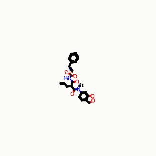 C=CCC(C(=O)NS(=O)(=O)/C=C/c1ccccc1)C(=O)N(CC)c1ccc2c(c1)OOC2